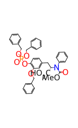 COC(=O)N(c1ccccc1)[C@@H](Cc1ccc(OP(=O)(OCc2ccccc2)OCc2ccccc2)c(OCc2ccccc2)c1)C(=O)O